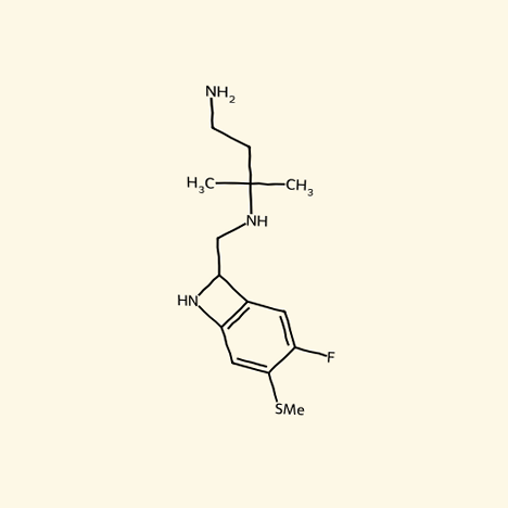 CSc1cc2c(cc1F)C(CNC(C)(C)CCN)N2